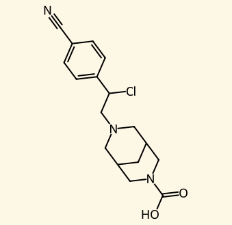 N#Cc1ccc(C(Cl)CN2CC3CC(C2)CN(C(=O)O)C3)cc1